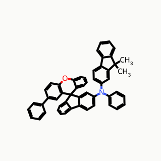 CC1(C)c2ccccc2-c2ccc(N(c3ccccc3)c3ccc4c(c3)C3(c5ccccc5Oc5ccc(-c6ccccc6)cc53)c3ccccc3-4)cc21